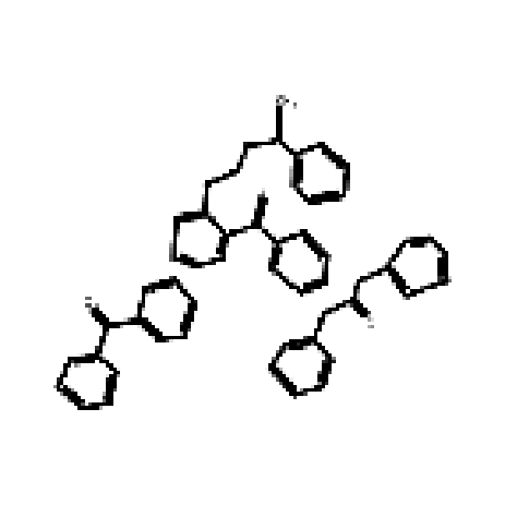 CC(CCCc1ccccc1C(=O)c1ccccc1)c1ccccc1.O=C(Cc1ccccc1)Cc1ccccc1.O=C(c1ccccc1)c1ccccc1